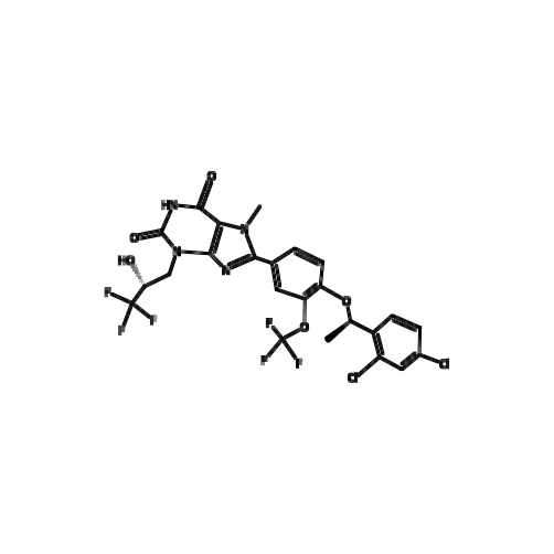 C[C@@H](Oc1ccc(-c2nc3c(c(=O)[nH]c(=O)n3C[C@@H](O)C(F)(F)F)n2C)cc1OC(F)(F)F)c1ccc(Cl)cc1Cl